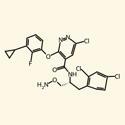 NOC[C@@H](Cc1ccc(Cl)cc1Cl)NC(=O)c1cc(Cl)nnc1Oc1cccc(C2CC2)c1F